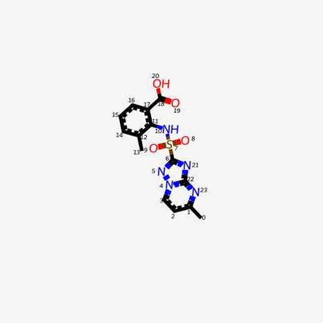 Cc1ccn2nc(S(=O)(=O)Nc3c(C)cccc3C(=O)O)nc2n1